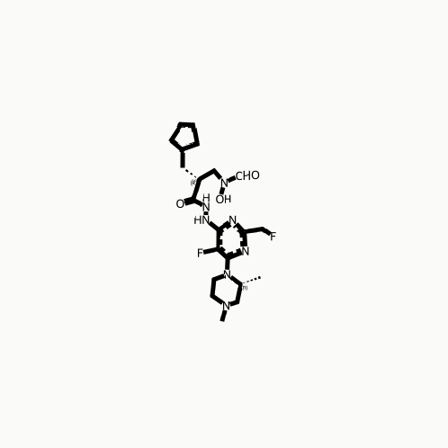 C[C@@H]1CN(C)CCN1c1nc(CF)nc(NNC(=O)[C@H](CC2CCCC2)CN(O)C=O)c1F